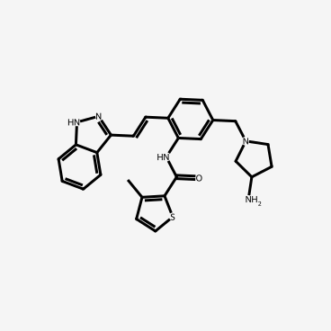 Cc1ccsc1C(=O)Nc1cc(CN2CCC(N)C2)ccc1C=Cc1n[nH]c2ccccc12